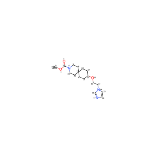 CC(C)(C)OC(=O)N1CCC2(CCC(OCCn3ccnc3)CC2)CC1